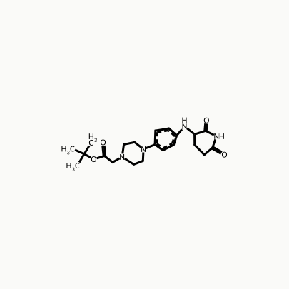 CC(C)(C)OC(=O)CN1CCN(c2ccc(NC3CCC(=O)NC3=O)cc2)CC1